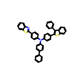 c1ccc(-c2ccc(N(c3ccc(-c4nc5ccccc5s4)cc3)c3ccc(-c4sc5ccccc5c4-c4ccccc4)cc3)cc2)cc1